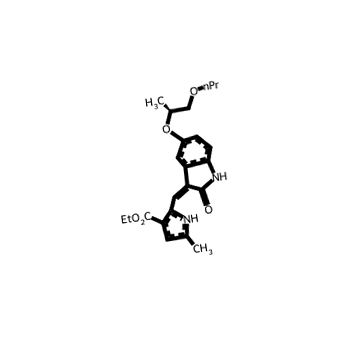 CCCOC[C@H](C)Oc1ccc2c(c1)/C(=C/c1[nH]c(C)cc1C(=O)OCC)C(=O)N2